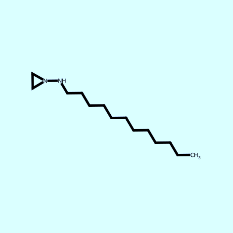 CCCCCCCCCCCCNN1CC1